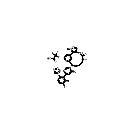 C[C@@H]1CCC[C@H](n2cnc(-c3c(-n4cnnn4)ccc(Cl)c3F)cc2=O)c2cc(ccn2)-c2c(cnn2C)NC1=O.O=C(O)C(F)(F)F